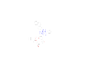 CC12CC=CC=C1C1(c3ccc(-c4nc(-c5ccccc5)nc(-c5ccc6c(ccc7ccccc76)c5)n4)cc3O2)c2ccccc2-c2ccccc21